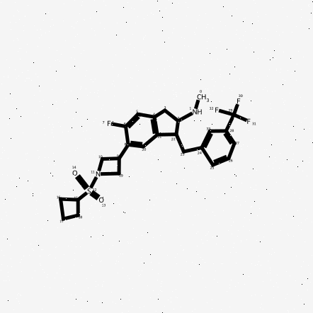 CNC1Cc2cc(F)c(C3CN(S(=O)(=O)C4CCC4)C3)cc2C1Cc1cccc(C(F)(F)F)c1